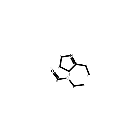 CCC1=NCCC1.CCOC=O